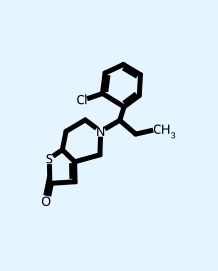 CCC(c1ccccc1Cl)N1CCC2SC(=O)C=C2C1